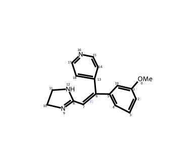 COc1cccc(/C(=C/C2=NCCN2)c2ccncc2)c1